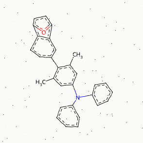 Cc1cc(N(c2ccccc2)c2ccccc2)cc(C)c1-c1ccc2c3ccc(o3)c2c1